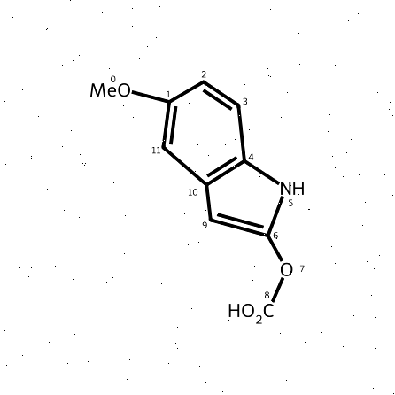 COc1ccc2[nH]c(OC(=O)O)cc2c1